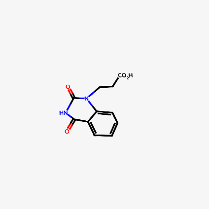 O=C(O)CCn1c(=O)[nH]c(=O)c2ccccc21